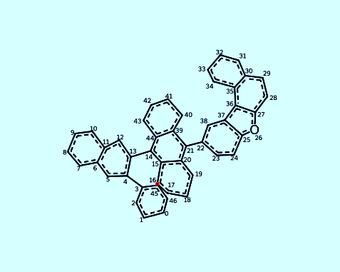 c1ccc(-c2cc3ccccc3cc2-c2c3ccccc3c(-c3ccc4oc5ccc6ccccc6c5c4c3)c3ccccc23)cc1